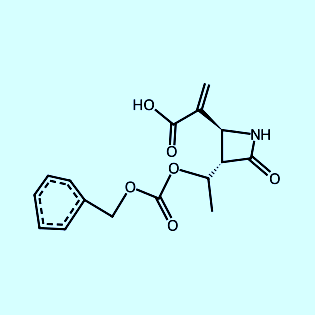 C=C(C(=O)O)[C@H]1NC(=O)[C@@H]1C(C)OC(=O)OCc1ccccc1